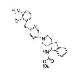 CC(C)(C)OC(=O)N[C@@H]1c2ccccc2CC12CCN(c1cnc(Sc3cccc(N)c3Cl)cn1)CC2